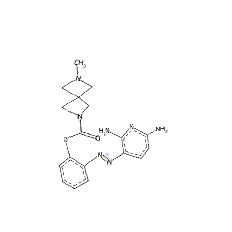 CN1CC2(C1)CN(C(=O)Oc1ccccc1/N=N/c1ccc(N)nc1N)C2